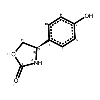 O=C1N[C@H](c2ccc(O)cc2)CO1